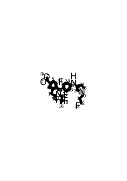 COC(=O)c1ccc2c(c1)C[C@@H](C)N(CC(C)(F)F)[C@@H]2c1c(F)cc(N[C@H]2CCN(CCCF)C2)cc1F